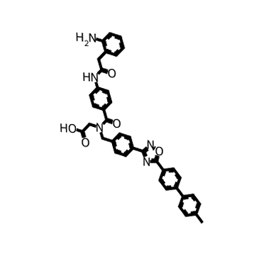 Cc1ccc(-c2ccc(-c3nc(-c4ccc(CN(CC(=O)O)C(=O)c5ccc(NC(=O)Cc6ccccc6N)cc5)cc4)no3)cc2)cc1